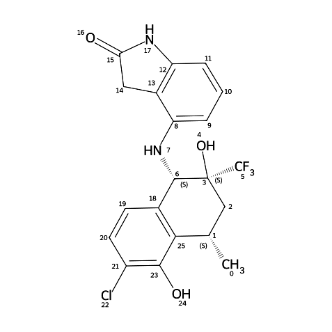 C[C@H]1C[C@@](O)(C(F)(F)F)[C@@H](Nc2cccc3c2CC(=O)N3)c2ccc(Cl)c(O)c21